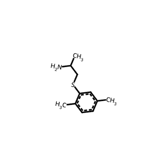 Cc1ccc(C)c(SCC(C)N)c1